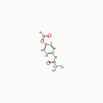 CC(=O)Oc1ccc(CC(=O)C(C)C)cc1